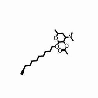 C#CCCCCCCCCCOC1OC(C)CC(N(C)C)C1OC(C)=O